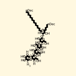 CCCCCCCCCCCCC/C=C/[C@@H](O)[C@H](CO[C@@H]1OC(CO)[C@@H](O[C@@H]2OC(CO)[C@H](O[C@@H]3OC(CO)[C@H](O)[C@H](O[C@H]4OC(CO)[C@H](O)[C@H](O)C4O[C@H]4OC(C)[C@@H](O)C(O)[C@@H]4O)C3O)[C@H](O)C2O)[C@H](O)C1O)NC(=O)CCCCCCCCCCCCCCCCCCCCCCCCC